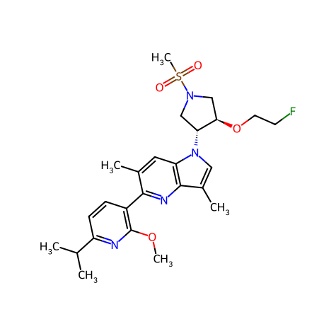 COc1nc(C(C)C)ccc1-c1nc2c(C)cn([C@@H]3CN(S(C)(=O)=O)C[C@H]3OCCF)c2cc1C